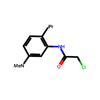 CNc1ccc(C(C)C)c(NC(=O)CCl)c1